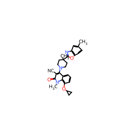 Cc1ccc2oc(C3(C)CCN(c4c(C#N)c(=O)n(C)c5c(OC6CC6)cccc45)CC3)nc2c1